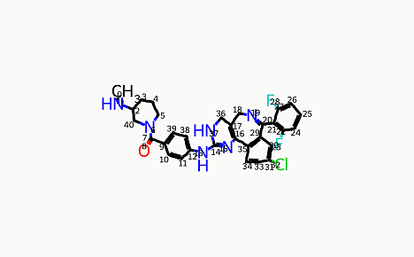 CNC1CCCN(C(=O)c2ccc(NC3=NC4=C(CN=C(c5c(F)cccc5F)c5cc(Cl)ccc54)CN3)cc2)C1